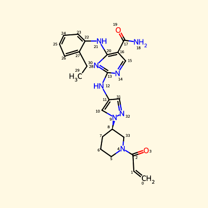 C=CC(=O)N1CCC[C@@H](n2cc(Nc3ncc(C(N)=O)c(Nc4ccccc4CC)n3)cn2)C1